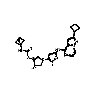 O=C(NC12CC(C1)C2)O[C@H]1C[C@@H](c2cc(Nc3nccn4nc(C5CCC5)cc34)n[nH]2)C[C@H]1F